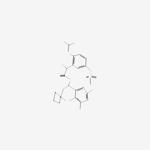 CC(C)Oc1ccc(NS(C)(=O)=O)cc1C(C)C(=O)NC1CC2(CCC2)Oc2c(Cl)cc(Cl)cc21